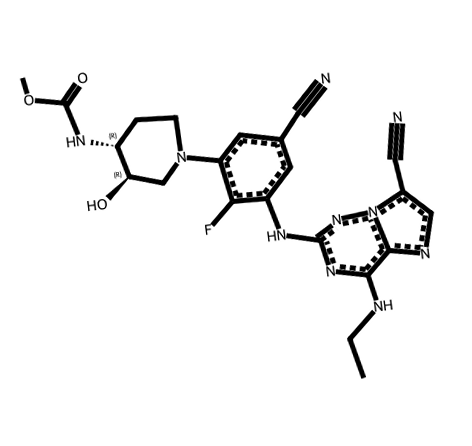 CCNc1nc(Nc2cc(C#N)cc(N3CC[C@@H](NC(=O)OC)[C@H](O)C3)c2F)nn2c(C#N)cnc12